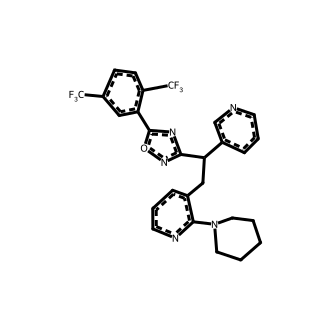 FC(F)(F)c1ccc(C(F)(F)F)c(-c2nc(C(Cc3cccnc3N3CCCCC3)c3cccnc3)no2)c1